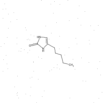 CCCCCc1c[nH]c(=O)[nH]1